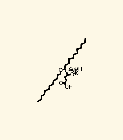 CCCCCCCCCCCCOCCCCCCCCCCCC.O=C(O)CCC(=O)OS(=O)(=O)O